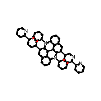 c1ccc(-n2c3c(-c4ccc(-c5ccccn5)nc4)cc4cccc5c4c3-c3c4c(cccc42)cc(-c2ccc(-c4ccccn4)nc2)c3n5-c2ccccc2)cc1